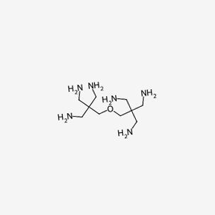 NCC(CN)(CN)COCC(CN)(CN)CN